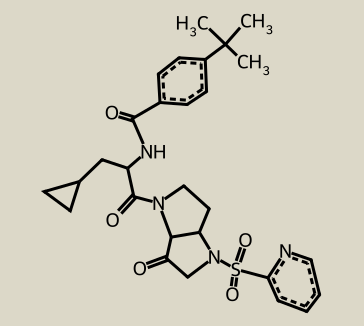 CC(C)(C)c1ccc(C(=O)NC(CC2CC2)C(=O)N2CCC3C2C(=O)CN3S(=O)(=O)c2ccccn2)cc1